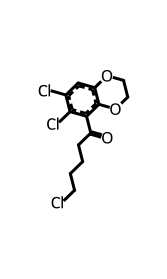 O=C(CCCCCl)c1c(Cl)c(Cl)cc2c1OCCO2